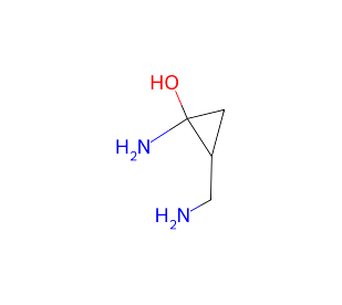 NCC1CC1(N)O